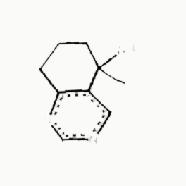 CC1(N)CCCc2ncncc21